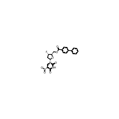 O=C(OC[C@H]1O[C@H](n2cc([N+](=O)[O-])c(=O)[nH]c2=O)C[C@@H]1F)c1ccc(-c2ccccc2)cc1